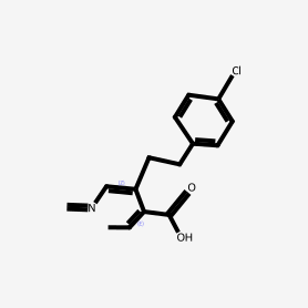 C=N/C=C(CCc1ccc(Cl)cc1)\C(=C/C)C(=O)O